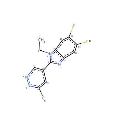 CCn1c(-c2cnnc(Cl)c2)nc2cc(F)c(F)cc21